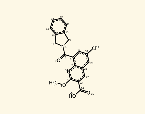 COc1nc2c(C(=O)N3Cc4ccccc4C3)cc(Cl)cc2cc1C(=O)O